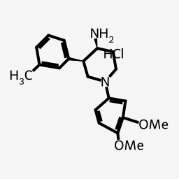 COc1ccc(N2CC[C@H](N)[C@H](c3cccc(C)c3)C2)cc1OC.Cl